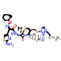 Nc1nc(/C(=N/OC2C=CCCC2)C(=O)NC2C(=O)N3C(C(=O)O)=C(CSN4N=CN(CC(=O)O)N4)CS[C@H]23)cs1